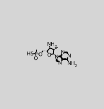 C[C@@H]1[C@H](N)[C@@H](COP(C)(=O)S)O[C@H]1n1cnc2c(N)ncnc21